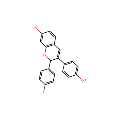 Oc1ccc(C2=Cc3ccc(O)cc3OC2c2ccc(F)cc2)cc1